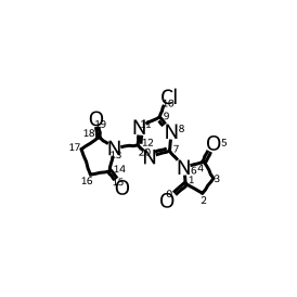 O=C1CCC(=O)N1c1nc(Cl)nc(N2C(=O)CCC2=O)n1